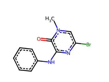 Cn1cc(Br)nc(Nc2ccccc2)c1=O